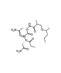 CCCC(C)OCC(C)C(=O)N[C@@H](CC(N)=O)C(=O)N[C@@H](CC(N)=O)C(=O)CC